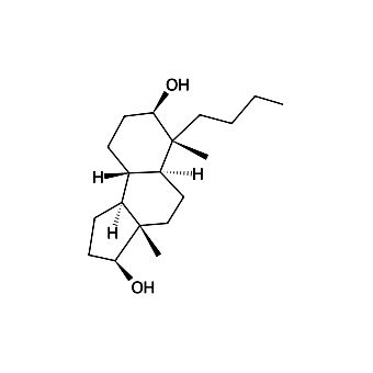 CCCC[C@@]1(C)[C@H](O)CC[C@@H]2[C@@H]1CC[C@]1(C)[C@@H](O)CC[C@@H]21